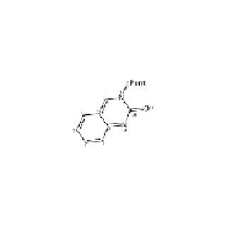 CCCCCn1cc2ccccc2nc1=O